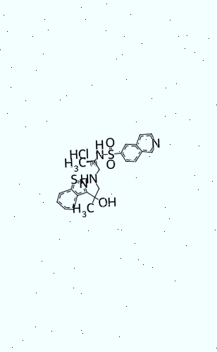 C[C@H](CNCC(C)(O)c1nsc2ccccc12)NS(=O)(=O)c1ccc2cnccc2c1.Cl